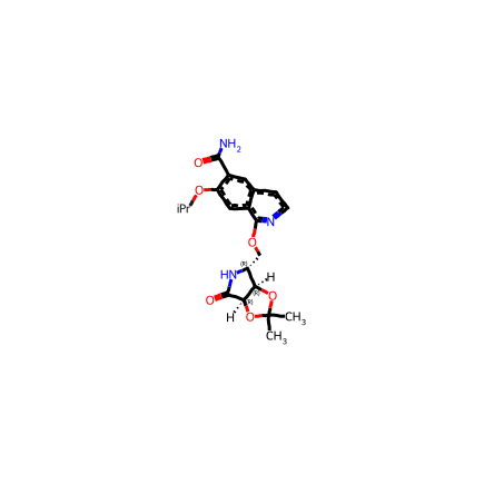 CC(C)Oc1cc2c(OC[C@H]3NC(=O)[C@@H]4OC(C)(C)O[C@H]34)nccc2cc1C(N)=O